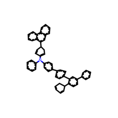 C1=CCC(c2ccc(-c3ccccc3)cc2-c2ccc(-c3ccc(N(C4=CCC(c5cc6ccccc6c6ccccc56)C=C4)c4ccccc4)cc3)cc2)C=C1